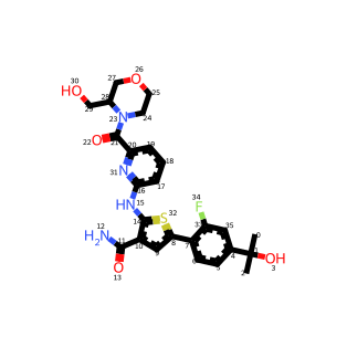 CC(C)(O)c1ccc(-c2cc(C(N)=O)c(Nc3cccc(C(=O)N4CCOCC4CO)n3)s2)c(F)c1